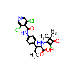 CCC(c1ccc(NC(=O)c2c(Cl)cncc2Cl)cc1)[C@H](NC1=C(Cl)C(=O)C1(C)C)C(=O)O